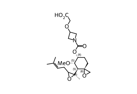 CO[C@@H]1[C@H](OC(=O)N2CC(OCC(=O)O)C2)CC[C@]2(CO2)[C@H]1[C@@]1(C)OC1CC=C(C)C